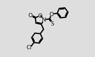 O=c1cc(CC2C=CC(Cl)=CC2)n(C(=S)Oc2ccccc2)o1